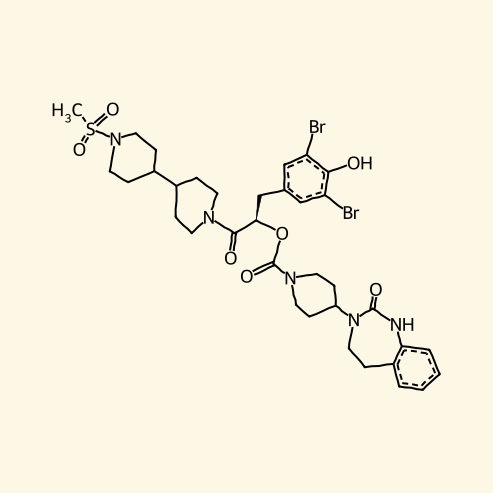 CS(=O)(=O)N1CCC(C2CCN(C(=O)[C@@H](Cc3cc(Br)c(O)c(Br)c3)OC(=O)N3CCC(N4CCc5ccccc5NC4=O)CC3)CC2)CC1